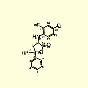 CCCC1(c2ccccc2)CC(Nc2ccc(Cl)cc2F)C(=O)O1